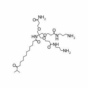 CC(C)C(=O)CCCCCCCCCCC(=O)NC(COCCC(N)=O)(COCCC(=O)NCCCN)COCCC(=O)NCCCN